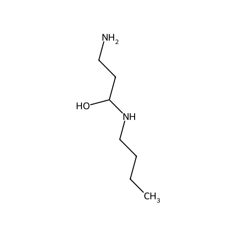 CCCCNC(O)CCN